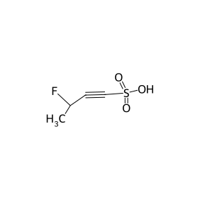 CC(F)C#CS(=O)(=O)O